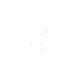 O=C1c2ccccc2C(=O)N1CCN1C(=O)C(CO)(c2cc3c(cc2O)OCO3)c2ccccc21